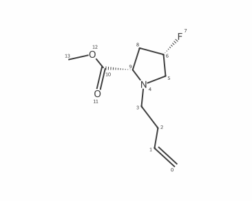 C=CCCN1C[C@@H](F)C[C@H]1C(=O)OC